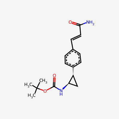 CC(C)(C)OC(=O)N[C@@H]1C[C@H]1c1ccc(/C=C/C(N)=O)cc1